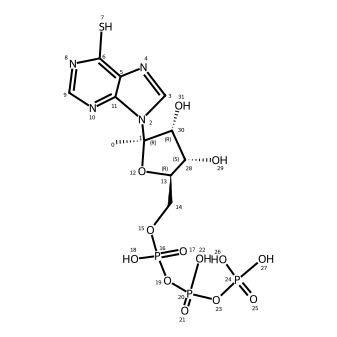 C[C@@]1(n2cnc3c(S)ncnc32)O[C@H](COP(=O)(O)OP(=O)(O)OP(=O)(O)O)[C@@H](O)[C@H]1O